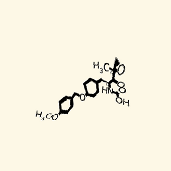 COc1ccc(COC2CCC(C[C@H](NC(=O)O)C(=O)[C@]3(C)CO3)CC2)cc1